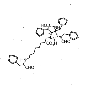 O=CC(Cc1ccccc1)NCCCCCCCCC[C@@H](Cc1ccccc1)C(Cc1ccccc1)(NC(=O)O)N(NC(=O)O)[C@H](C=O)Cc1ccccc1